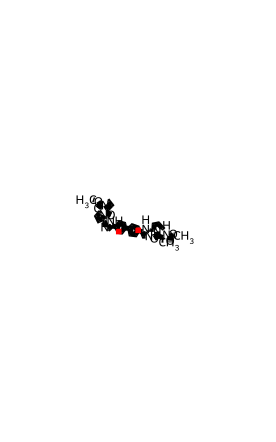 COC(=O)N[C@@H](C)C(=O)N1CCC[C@H]1c1ncc(-c2ccc(C3=CC=C(c4cnc([C@@H]5CCCN5C(=O)[C@@H]5CCN5C(=O)OC)[nH]4)CC3)cc2)[nH]1